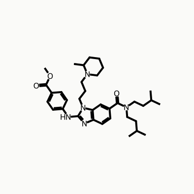 COC(=O)c1ccc(Nc2nc3ccc(C(=O)N(CCC(C)C)CCC(C)C)cc3n2CCCN2CCCCC2C)cc1